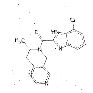 C[C@H]1Cc2ncncc2CN1C(=O)c1nc2cccc(Cl)c2[nH]1